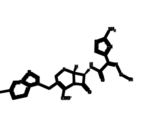 CCO/N=C(\C(=O)N[C@@H]1C(=O)N2C(C(=O)[O-])=C(Cn3cn[n+]4cc(C)ccc34)CS[C@@H]12)c1csc(N)n1